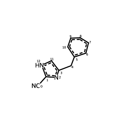 N#Cc1nc(Cc2ccccc2)c[nH]1